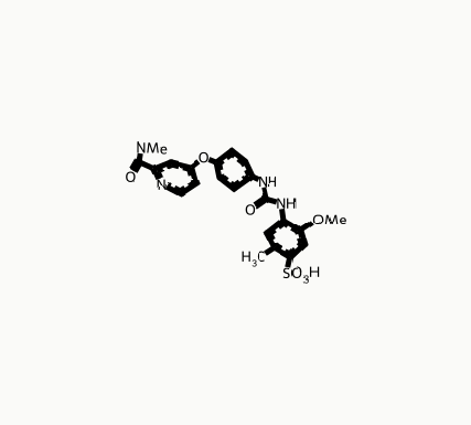 CNC(=O)c1cc(Oc2ccc(NC(=O)Nc3cc(C)c(S(=O)(=O)O)cc3OC)cc2)ccn1